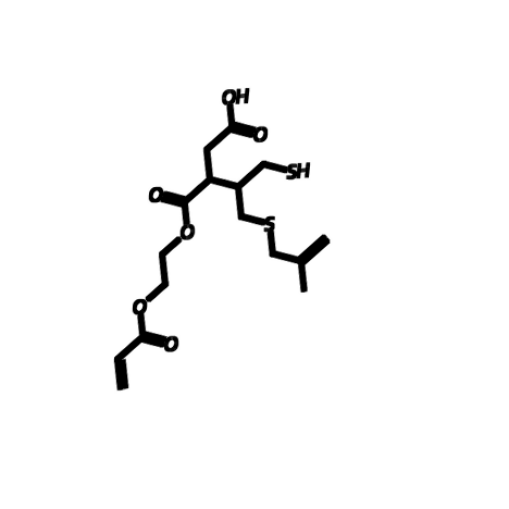 C=CC(=O)OCCOC(=O)C(CC(=O)O)C(CS)CSCC(=C)C